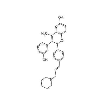 CC1=C(c2cccc(O)c2)C(c2ccc(C=CCN3CCCCC3)cc2)Oc2ccc(O)cc21